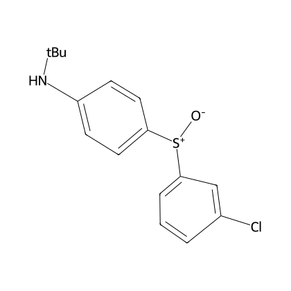 CC(C)(C)Nc1ccc([S+]([O-])c2cccc(Cl)c2)cc1